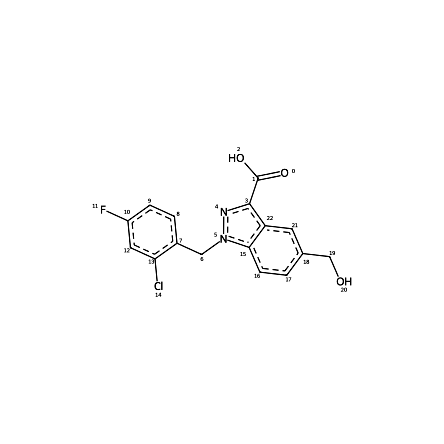 O=C(O)c1nn(Cc2ccc(F)cc2Cl)c2ccc(CO)cc12